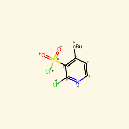 CCCCc1ccnc(Cl)c1S(=O)(=O)Cl